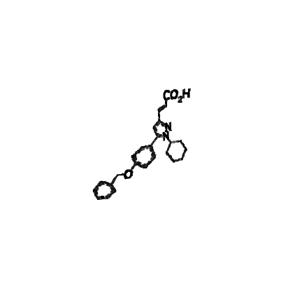 O=C(O)C=Cc1cc(-c2ccc(OCc3ccccc3)cc2)n(C2CCCCC2)n1